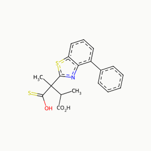 CC(C(=O)O)C(C)(C(O)=S)c1nc2c(-c3ccccc3)cccc2s1